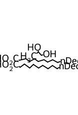 CC(O)CO.CCCCCCCCCCCCCCCCCCCC(=O)O.CCCCCCCCCCCCCCCCCCCC(=O)O